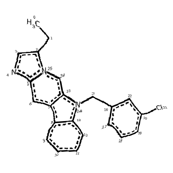 CCc1cnc2cc3c4ccccc4n(Cc4cccc(Cl)c4)c3cn12